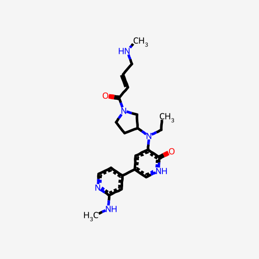 CCN(c1cc(-c2ccnc(NC)c2)c[nH]c1=O)C1CCN(C(=O)/C=C/CNC)C1